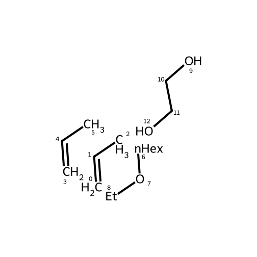 C=CC.C=CC.CCCCCCOCC.OCCO